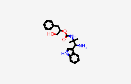 CC(C)(NC(=O)OC(CO)Cc1ccccc1)C(N)c1c[nH]c2ccccc12